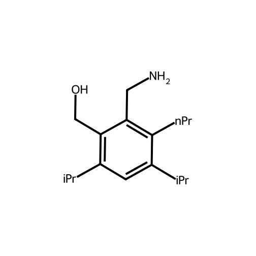 [CH2]CCc1c(C(C)C)cc(C(C)C)c(CO)c1CN